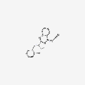 N#C/N=c1\c2ccccc2nc2n1CC/C2=C\c1ccccc1Br